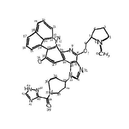 CN1CCCC1COc1nc2c(F)c(-c3cccc4cccc(C#N)c34)c(Cl)cc2c2c1ncn2C1CCN(C(=O)c2nc[nH]n2)CC1